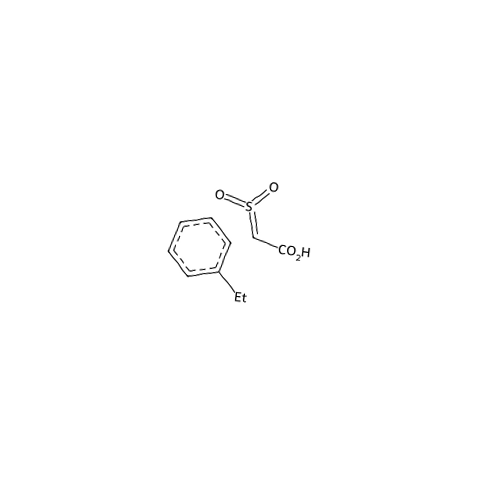 CCc1ccccc1.O=C(O)C=S(=O)=O